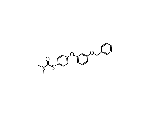 CN(C)C(=O)Sc1ccc(Oc2cccc(OCc3ccccc3)c2)cc1